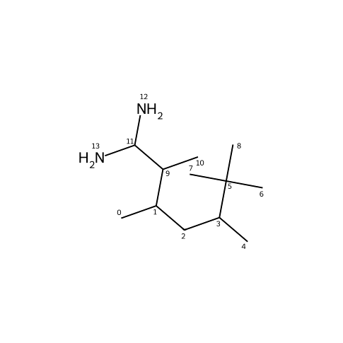 CC(CC(C)C(C)(C)C)C(C)C(N)N